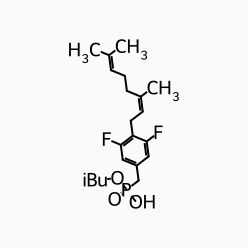 CCC(C)OP(=O)(O)Cc1cc(F)c(CC=C(C)CCC=C(C)C)c(F)c1